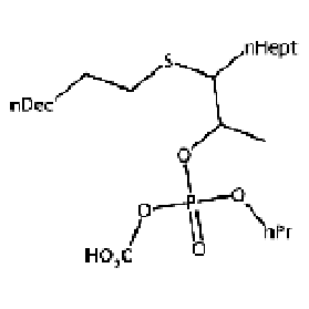 CCCCCCCCCCCCSC(CCCCCCC)C(C)OP(=O)(OCCC)OC(=O)O